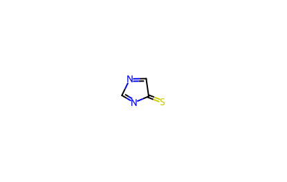 S=C1C=NC=N1